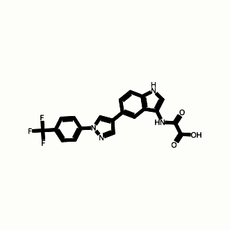 O=C(O)C(=O)Nc1c[nH]c2ccc(-c3cnn(-c4ccc(C(F)(F)F)cc4)c3)cc12